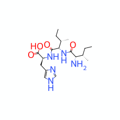 CC[C@H](C)[C@H](N)C(=O)N[C@H](C(=O)N[C@@H](Cc1c[nH]cn1)C(=O)O)[C@@H](C)CC